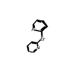 c1cc[c]([Er][c]2ccccn2)nc1